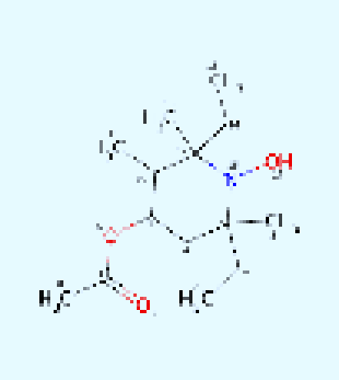 CCC1(C)CC(OC(C)=O)C(C)C(C)(CC)N1O